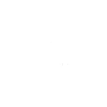 [CH2]C(C)(CC)CC=O